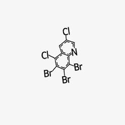 Clc1cnc2c(Br)c(Br)c(Br)c(Cl)c2c1